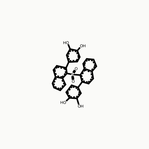 O=S(=O)(c1c(-c2ccc(O)c(O)c2)ccc2ccccc12)c1c(-c2ccc(O)c(O)c2)ccc2ccccc12